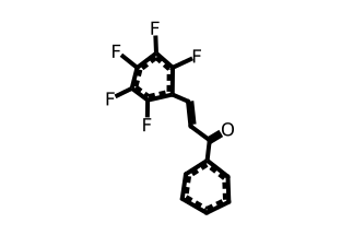 O=C(/C=C/c1c(F)c(F)c(F)c(F)c1F)c1ccccc1